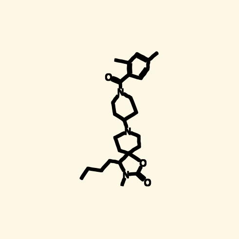 CCCCC1N(C)C(=O)OC12CCN(C1CCN(C(=O)c3ccc(C)cc3C)CC1)CC2